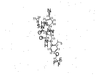 CCc1cc(OCC(F)(F)F)ccc1C1Cc2nn(-c3ccc(C#N)cn3)c(C(=O)NSC3CC3)c2C(=O)N1